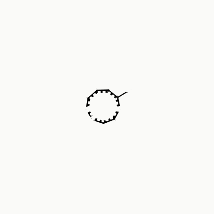 Ic1cccn[nH]ccn1